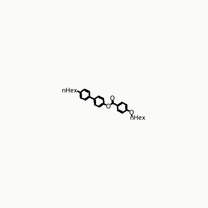 CCCCCCOc1ccc(C(=O)Oc2ccc(-c3ccc(CCCCCC)cc3)cc2)cc1